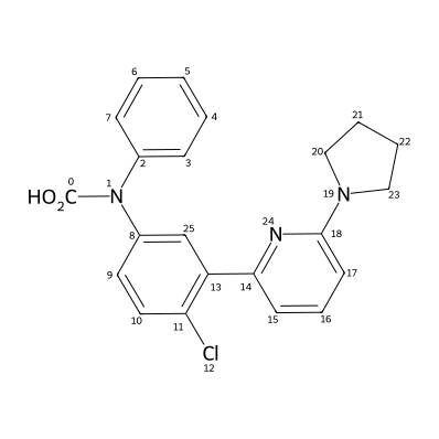 O=C(O)N(c1ccccc1)c1ccc(Cl)c(-c2cccc(N3CCCC3)n2)c1